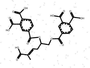 C/C(=C\CC(COC(=O)c1ccc(C(=O)O)c(C(=O)O)c1)OC(=O)c1ccc(C(=O)O)c(C(=O)O)c1)C(=O)O